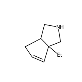 CCC12C=CCC1CNC2